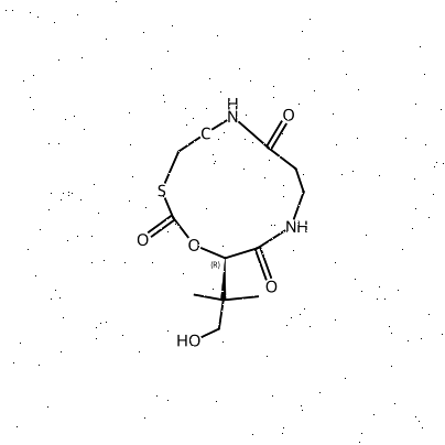 CC(C)(CO)[C@H]1OC(=O)SCCNC(=O)CCNC1=O